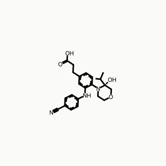 CC(C)[C@]1(O)COCCN1c1ccc(CCC(=O)O)cc1Nc1ccc(C#N)cc1